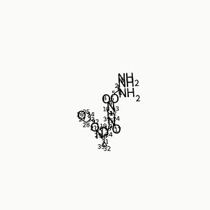 NN/C=C(\N)COC(=O)N1CC2=C(C1)CN(C(=O)c1cc(OCC3CCOCC3)nc(C3CC3)c1)C2